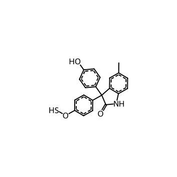 Cc1ccc2c(c1)C(c1ccc(O)cc1)(c1ccc(OS)cc1)C(=O)N2